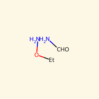 CCON.NC=O